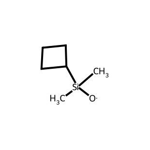 C[Si](C)([O])C1CCC1